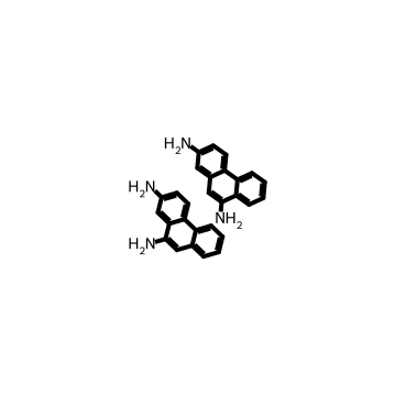 Nc1ccc2c(c1)c(N)cc1ccccc12.Nc1ccc2c(c1)cc(N)c1ccccc12